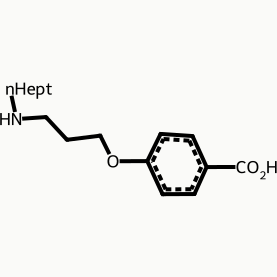 CCCCCCCNCCCOc1ccc(C(=O)O)cc1